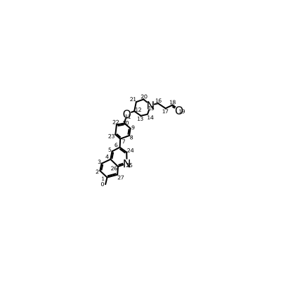 Cc1ccc2cc(-c3ccc(OC4CCN(CCC=O)CC4)cc3)cnc2c1